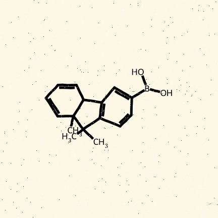 CC1(C)c2ccc(B(O)O)cc2C2C=CC=CC21C